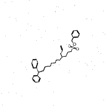 C=CCC(CCCCCCCC(c1ccccc1)c1ccccc1)CCCS(=O)(=O)OCc1ccccc1